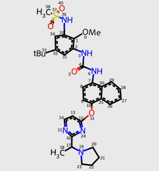 COc1c(NC(=O)Nc2ccc(Oc3ccnc(C(C)N4CCCC4)n3)c3ccccc23)cc(C(C)(C)C)cc1NS(C)(=O)=O